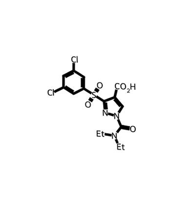 CCN(CC)C(=O)n1cc(C(=O)O)c(S(=O)(=O)c2cc(Cl)cc(Cl)c2)n1